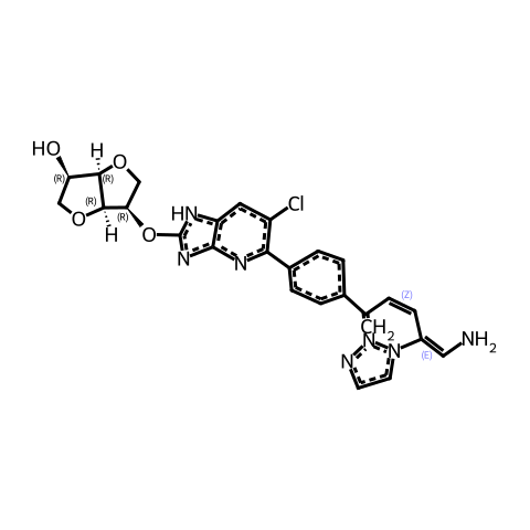 C=C(/C=C\C(=C/N)n1ccnn1)c1ccc(-c2nc3nc(O[C@@H]4CO[C@H]5[C@@H]4OC[C@H]5O)[nH]c3cc2Cl)cc1